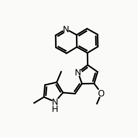 COC1=CC(c2cccc3ncccc23)=NC1=Cc1[nH]c(C)cc1C